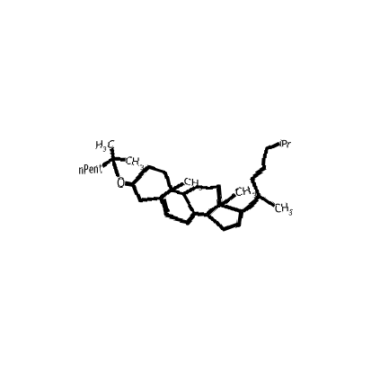 CCCCCC(C)(C)OC1CCC2(C)C(=CCC3C2CCC2(C)C(C(C)CCCC(C)C)CCC32)C1